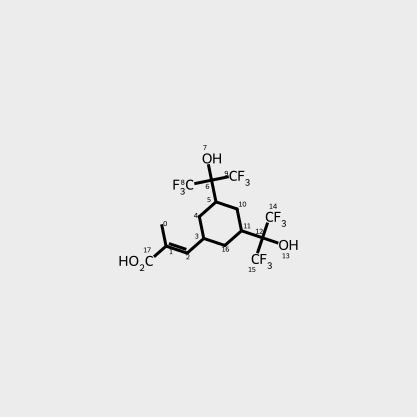 CC(=CC1CC(C(O)(C(F)(F)F)C(F)(F)F)CC(C(O)(C(F)(F)F)C(F)(F)F)C1)C(=O)O